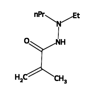 C=C(C)C(=O)NN(CC)CCC